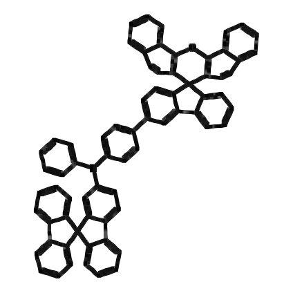 c1ccc(N(c2ccc(-c3ccc4c(c3)-c3ccccc3C43c4ccc5ccccc5c4Oc4c3ccc3ccccc43)cc2)c2ccc3c(c2)C2(c4ccccc4-c4ccccc42)c2ccccc2-3)cc1